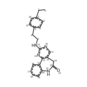 CCc1ccc(CCNc2ncc3c(n2)-c2ccccc2NC(=O)C3)cc1